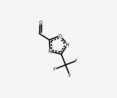 O=Cc1nc(C(F)(F)F)no1